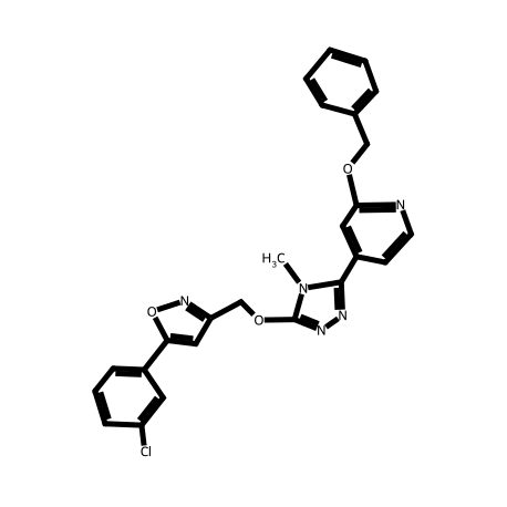 Cn1c(OCc2cc(-c3cccc(Cl)c3)on2)nnc1-c1ccnc(OCc2ccccc2)c1